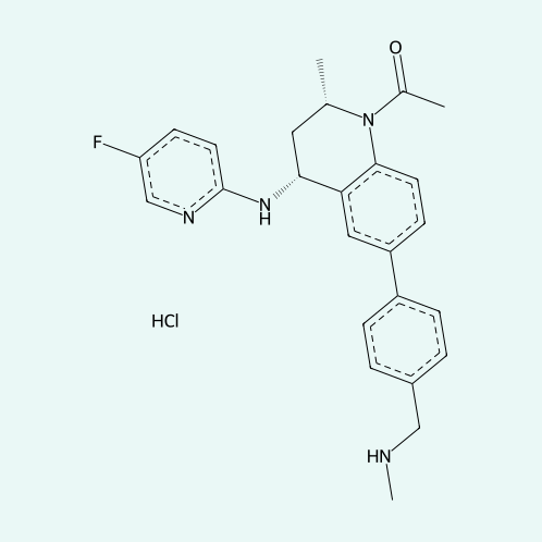 CNCc1ccc(-c2ccc3c(c2)[C@H](Nc2ccc(F)cn2)C[C@H](C)N3C(C)=O)cc1.Cl